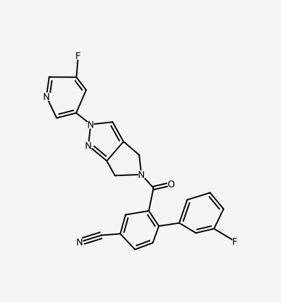 N#Cc1ccc(-c2cccc(F)c2)c(C(=O)N2Cc3cn(-c4cncc(F)c4)nc3C2)c1